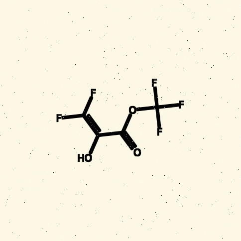 O=C(OC(F)(F)F)C(O)=C(F)F